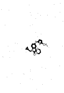 Cc1ccc(Sc2ccc3c(c2)C2(OCCCO2)C(=O)N3CC2CC2)s1